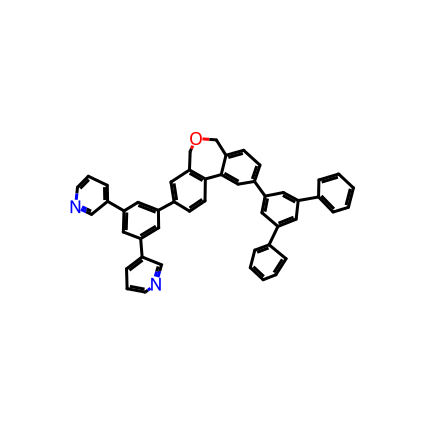 c1ccc(-c2cc(-c3ccccc3)cc(-c3ccc4c(c3)-c3ccc(-c5cc(-c6cccnc6)cc(-c6cccnc6)c5)cc3COC4)c2)cc1